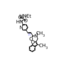 CCNS(=O)(=O)Nc1ccc(/C=C/C(=O)N(C)Cc2oc3ccccc3c2C)cn1